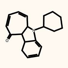 O=C1C=CC=CC2C1C1CC=CC=C1N2C1CCCCC1